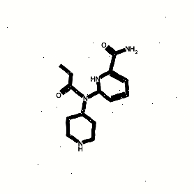 CCC(=O)N(C1CCNCC1)C1C=C[C]=C(C(N)=O)N1